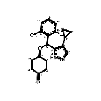 O=C1CCC(OC(c2[nH]ncc2C2CC2)c2c(Cl)cccc2Cl)CC1